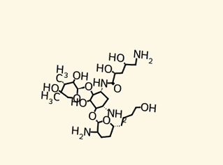 C[C@@H]1C(O)[C@@H](OC2C(O)C(O[C@H]3O[C@H](CCCCO)CCC3N)[C@@H](N)C[C@H]2NC(=O)[C@@H](O)C[C@@H](O)CN)OCC1(C)O